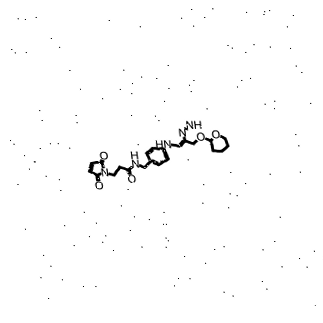 N=N/C(=C\Nc1ccc(CNC(=O)CCN2C(=O)C=CC2=O)cc1)COC1CCCCO1